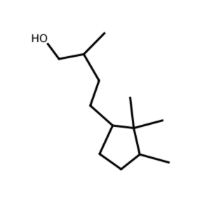 CC(CO)CCC1CCC(C)C1(C)C